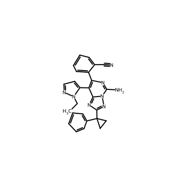 CCn1nccc1-c1c(-c2ccccc2C#N)nc(N)n2nc(C3(c4ccccc4)CC3)nc12